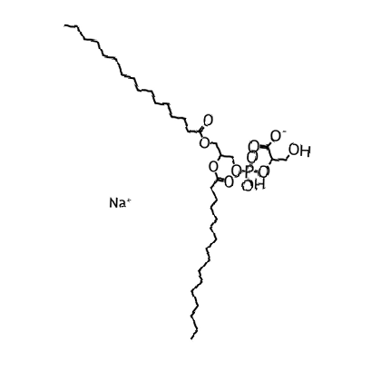 CCCCCCCCCCCCCCCC(=O)OCC(COP(=O)(O)OC(CO)C(=O)[O-])OC(=O)CCCCCCCCCCCCCCC.[Na+]